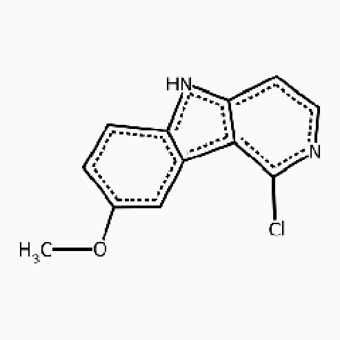 COc1ccc2[nH]c3ccnc(Cl)c3c2c1